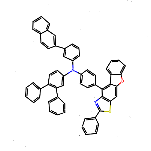 c1ccc(-c2nc3c(-c4ccc(N(c5cccc(-c6ccc7ccccc7c6)c5)c5ccc(-c6ccccc6)c(-c6ccccc6)c5)cc4)c4c(cc3s2)oc2ccccc24)cc1